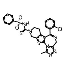 Cc1nnc2n1-c1sc3c(c1C(c1ccccc1Cl)=NC2)CCN(C(=S)NS(=O)(=O)c1ccccc1)C3